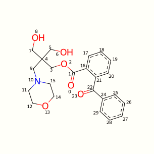 O=C(OCC(CO)(CO)CN1CCOCC1)c1ccccc1C(=O)c1ccccc1